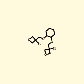 CCC1(COC2CCCCC2OCC2(CC)COC2)COC1